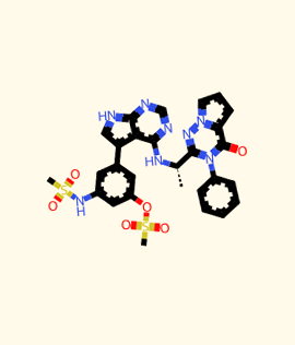 C[C@H](Nc1ncnc2[nH]cc(-c3cc(NS(C)(=O)=O)cc(OS(C)(=O)=O)c3)c12)c1nn2cccc2c(=O)n1-c1ccccc1